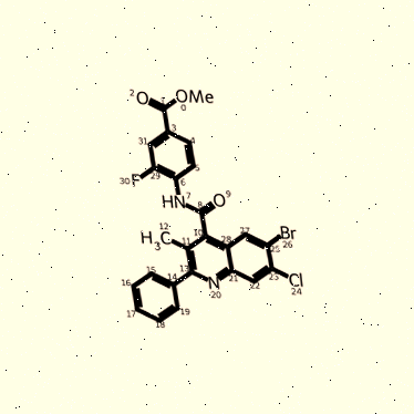 COC(=O)c1ccc(NC(=O)c2c(C)c(-c3ccccc3)nc3cc(Cl)c(Br)cc23)c(F)c1